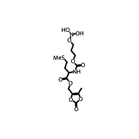 CSCCC(NC(=O)OCCCON(O)O)C(=O)OCc1oc(=O)oc1C